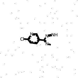 C/N=C(\N=N)c1ccc(Cl)nc1